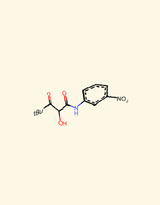 CC(C)(C)C(=O)C(O)C(=O)Nc1cccc([N+](=O)[O-])c1